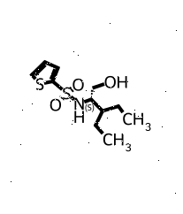 CCC(CC)[C@@H](CO)NS(=O)(=O)c1cccs1